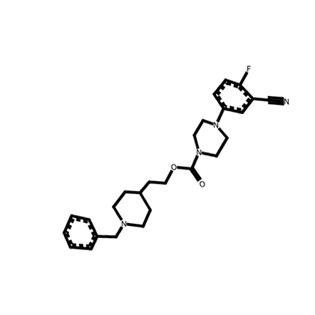 N#Cc1cc(N2CCN(C(=O)OCCC3CCN(Cc4ccccc4)CC3)CC2)ccc1F